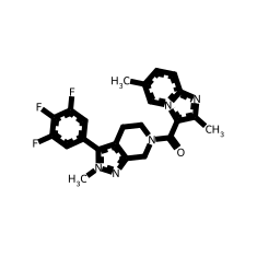 Cc1ccc2nc(C)c(C(=O)N3CCc4c(nn(C)c4-c4cc(F)c(F)c(F)c4)C3)n2c1